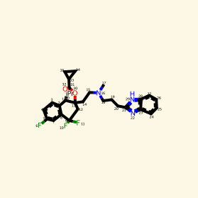 CC(C)C1c2ccc(F)cc2C(F)(F)CC1(CCN(C)CCCc1nc2ccccc2[nH]1)OC(=O)C1CC1